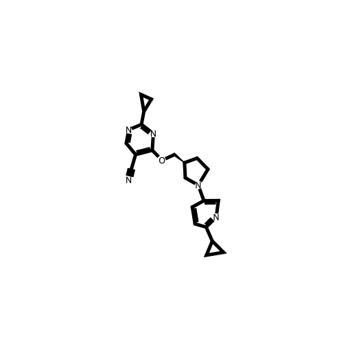 N#Cc1cnc(C2CC2)nc1OC[C@H]1CCN(c2ccc(C3CC3)nc2)C1